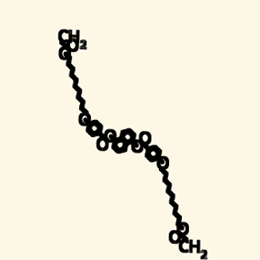 C=CC(=O)OCCCCCCCCCCCOc1ccc(C(=O)Oc2cccc3c(OC(=O)c4ccc(OCCCCCCCCCCCOC(=O)C=C)cc4)cccc23)cc1